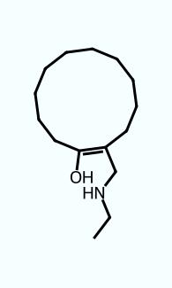 CCNC/C1=C(\O)CCCCCCCCCC1